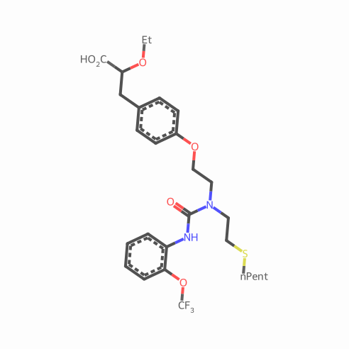 CCCCCSCCN(CCOc1ccc(CC(OCC)C(=O)O)cc1)C(=O)Nc1ccccc1OC(F)(F)F